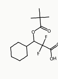 CC(C)(C)C(=O)OC(C1CCCCC1)C(F)(F)C(=O)O